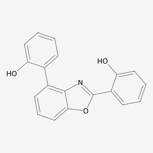 Oc1ccccc1-c1nc2c(-c3ccccc3O)cccc2o1